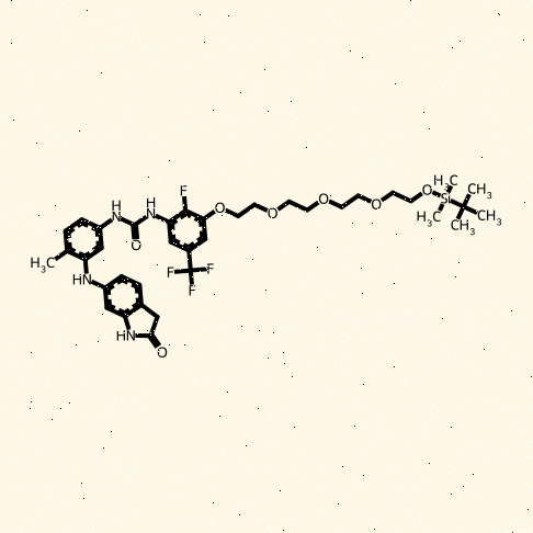 Cc1ccc(NC(=O)Nc2cc(C(F)(F)F)cc(OCCOCCOCCOCCO[Si](C)(C)C(C)(C)C)c2F)cc1Nc1ccc2c(c1)NC(=O)C2